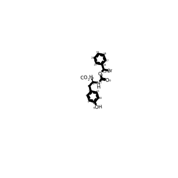 O=C(N[C@@H](Cc1ccc(O)cc1)C(=O)O)OC(Br)c1ccccc1